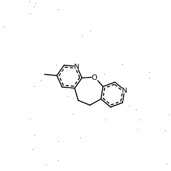 Cc1cnc2c(c1)CCc1ccncc1O2